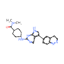 CN(C)C(=O)C1CCC(Nc2ncc3c(-c4ccc5nnccc5c4)c[nH]c3n2)CC1